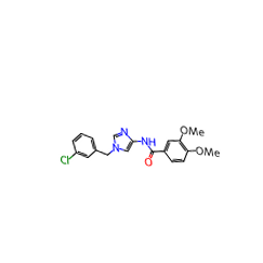 COc1ccc(C(=O)Nc2cn(Cc3cccc(Cl)c3)cn2)cc1OC